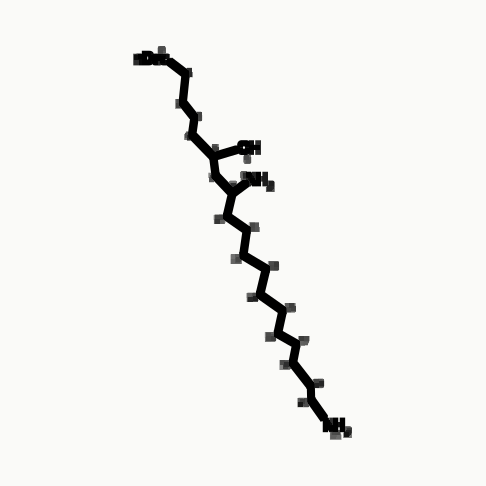 CCCCCCCCCCCCCCC(O)CC(N)CCCCCCCCCCCN